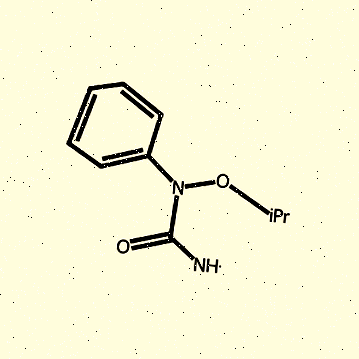 CC(C)ON(C([NH])=O)c1ccccc1